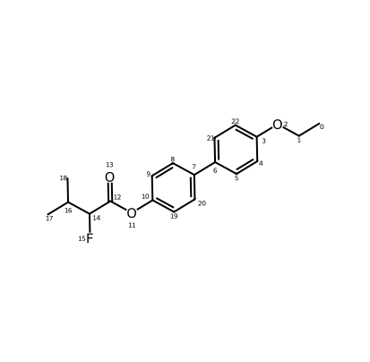 CCOc1ccc(-c2ccc(OC(=O)C(F)C(C)C)cc2)cc1